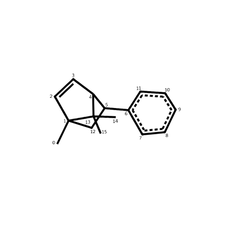 CC12C=CC(C(c3ccccc3)C1)C2(C)C